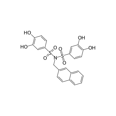 O=S(=O)(c1ccc(O)c(O)c1)N(Cc1ccc2ccccc2c1)S(=O)(=O)c1ccc(O)c(O)c1